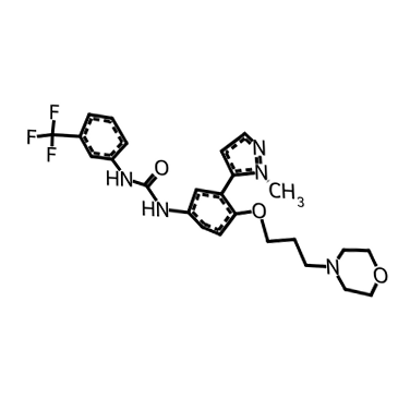 Cn1nccc1-c1cc(NC(=O)Nc2cccc(C(F)(F)F)c2)ccc1OCCCN1CCOCC1